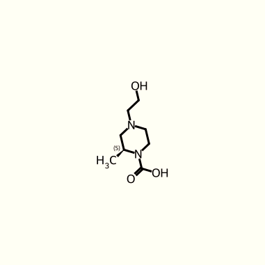 C[C@H]1CN(CCO)CCN1C(=O)O